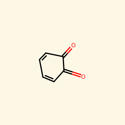 O=C1C=CC=CC1=O